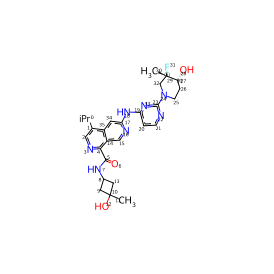 CC(C)c1cnc(C(=O)NC2CC(C)(O)C2)c2cnc(Nc3ccnc(N4CC[C@@H](O)[C@@](C)(F)C4)n3)cc12